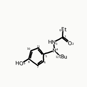 CCC(=O)NN(c1ccc(O)cc1)C(C)(C)C